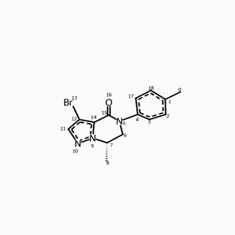 Cc1ccc(N2C[C@H](C)n3ncc(Br)c3C2=O)cc1